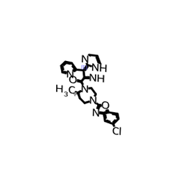 C[C@@H]1CCN(c2nc3cc(Cl)ccc3o2)CCN1C(=O)C(=N)/C(=C1/N=CC=CN1)c1ccccn1